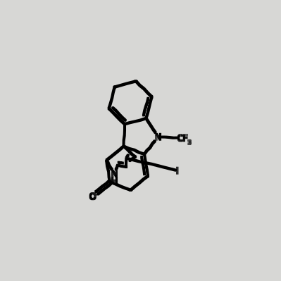 O=C1CC=C2N(C(F)(F)F)C3=CCCC=C3C23C=C(I)C=CNC13